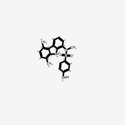 COc1ccc(S(=O)(=O)N(C)c2cccc3c2[nH]c2c(C)ccc(C)c23)cc1